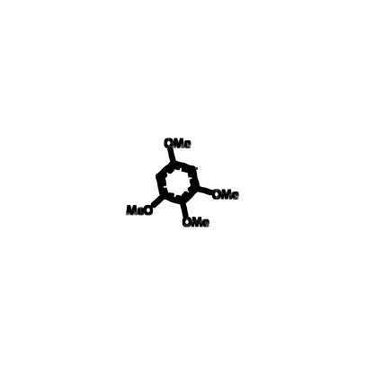 COc1[c]c(OC)c(OC)c(OC)c1